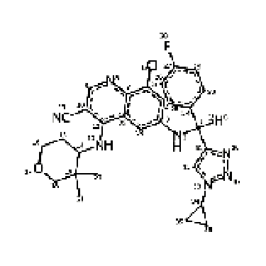 [2H]C(Nc1cc(Cl)c2ncc(C#N)c(NC3CCOCC3(C)C)c2c1)(c1ccc(F)cc1)c1cn(C2CC2)nn1